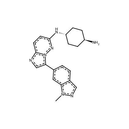 Cn1ncc2ccc(-c3cnc4ccc(N[C@H]5CC[C@H](N)CC5)nn34)cc21